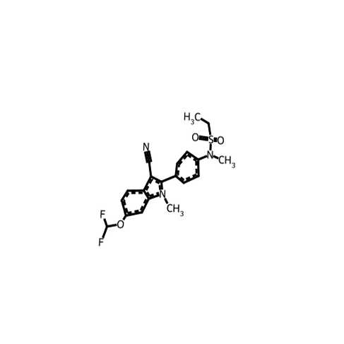 CCS(=O)(=O)N(C)c1ccc(-c2c(C#N)c3ccc(OC(F)F)cc3n2C)cc1